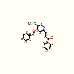 COc1cnc(/C=C/C(=O)c2ccccc2)cc1OCc1ccccc1